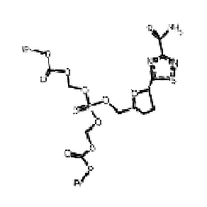 CC(C)OC(=O)OCOP(=O)(OCOC(=O)OC(C)C)OC[C@@H]1CC[C@H](c2nc(C(N)=O)ns2)O1